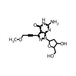 COCC#Cc1nn(C2CC(O)C(CO)O2)c2nc(N)[nH]c(=O)c12